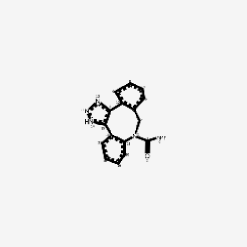 CCCC(=O)N1Cc2ccccc2-c2nn[nH]c2-c2ccccc21